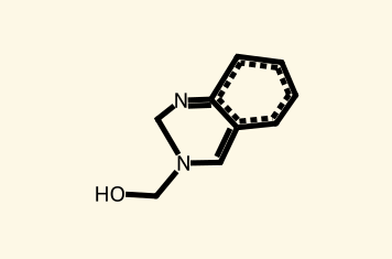 OCN1C=c2ccccc2=NC1